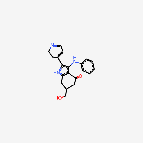 O=C1CC(CO)Cc2[nH]c(C3=CC=NCC3)c(Nc3ccccc3)c21